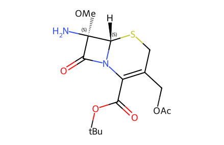 CO[C@@]1(N)C(=O)N2C(C(=O)OC(C)(C)C)=C(COC(C)=O)CS[C@H]21